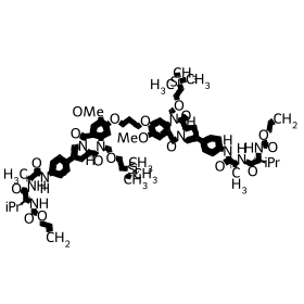 C=CCOC(=O)N[C@H](C(=O)N[C@@H](C)C(=O)Nc1ccc(C2=CN3C(=O)c4cc(OC)c(OCCCOc5cc6c(cc5OC)C(=O)N5C=C(c7ccc(NC(=O)[C@H](C)NC(=O)[C@@H](NC(=O)OCC=C)C(C)C)cc7)C[C@H]5C(=O)N6COCC[Si](C)(C)C)cc4N(COCC[Si](C)(C)C)C(=O)[C@@H]3C2)cc1)C(C)C